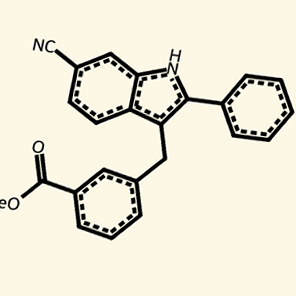 COC(=O)c1cccc(Cc2c(-c3ccccc3)[nH]c3cc(C#N)ccc23)c1